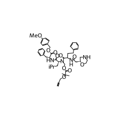 C#CCOC(C)(C)C(=O)OCN(C(=O)C(CCc1ccccc1)NC(=O)C[C@H]1CNCCO1)[C@@H](CC(C)C)C(=O)N[C@@H](Cc1ccccc1)C(=O)OCc1ccc(OC)cc1